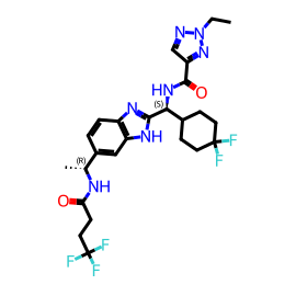 CCn1ncc(C(=O)N[C@H](c2nc3ccc([C@@H](C)NC(=O)CCC(F)(F)F)cc3[nH]2)C2CCC(F)(F)CC2)n1